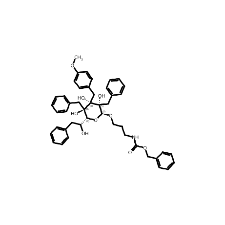 COc1ccc(C[C@@]2(O)[C@@](O)(Cc3ccccc3)[C@@H](OCCCNC(=O)OCc3ccccc3)O[C@H](C(O)Cc3ccccc3)[C@]2(O)Cc2ccccc2)cc1